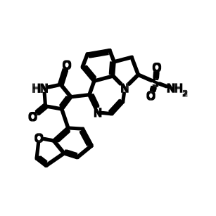 NS(=O)(=O)C1Cc2cccc3c2N1C=CN=C3C1=C(c2cccc3ccoc23)C(=O)NC1=O